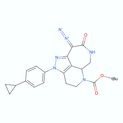 CC(C)(C)OC(=O)N1CCc2c3c(nn2-c2ccc(C4CC4)cc2)C(=[N+]=[N-])C(=O)NCC31